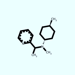 CC(c1ccccn1)N(C)[C@H]1CC[C@H](C)CC1